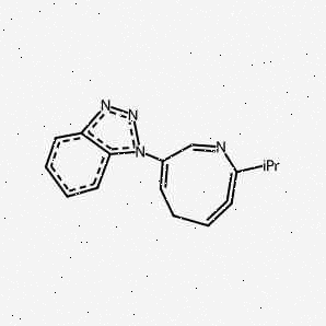 CC(C)C1=C=CC/C=C(n2nnc3ccccc32)\C=N/1